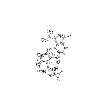 CCC(CC)c1nc(C)n2c1CN(C(=O)c1c(C)oc3ncnc(NC4(C)CC4)c13)CC2